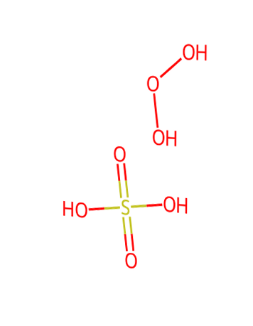 O=S(=O)(O)O.OOO